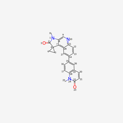 CN1C(=O)C2(CC2)c2c1cnc1ccc(-c3ccc4c(ccc(=O)n4C)c3)cc21